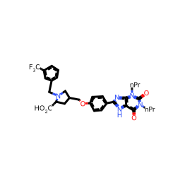 CCCn1c(=O)c2[nH]c(-c3ccc(OCC4CC(C(=O)O)N(Cc5cccc(C(F)(F)F)c5)C4)cc3)nc2n(CCC)c1=O